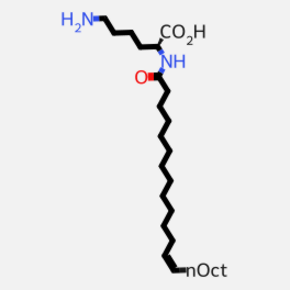 CCCCCCCC/C=C\CCCCCCCCCCCC(=O)N[C@@H](CCCCN)C(=O)O